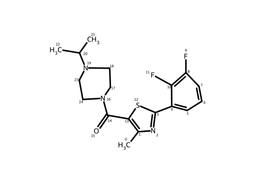 Cc1nc(-c2cccc(F)c2F)sc1C(=O)N1CCN(C(C)C)CC1